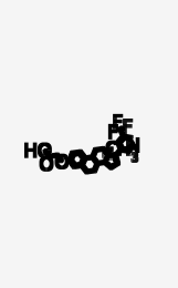 C[C@]12CCC3c4ccc(OCC(=O)O)cc4CCC3C1CC=C2c1cncc(C(F)(F)F)c1